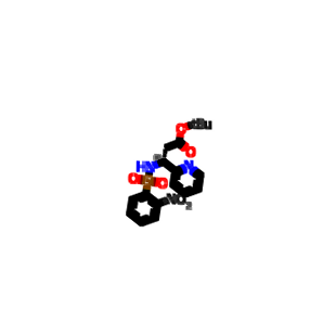 CC(C)(C)OC(=O)C[C@@H](NS(=O)(=O)c1ccccc1[N+](=O)[O-])c1ccccn1